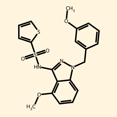 COc1cccc(Cn2nc(NS(=O)(=O)c3cccs3)c3c(OC)cccc32)c1